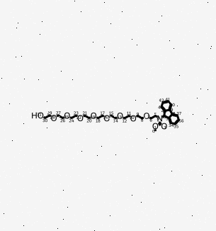 COC(=O)N(CCOCCOCCOCCOCCOCCOCCOCCOCCO)C1c2ccccc2-c2ccccc21